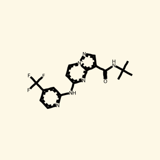 CC(C)(C)NC(=O)c1cnn2ccc(Nc3cc(C(F)(F)F)ccn3)nc12